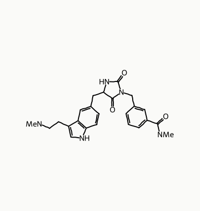 CNCCc1c[nH]c2ccc(CC3NC(=O)N(Cc4cccc(C(=O)NC)c4)C3=O)cc12